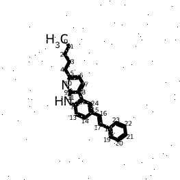 CCCCCc1ccc2c(n1)[nH]c1ccc(C=Cc3ccccc3)cc12